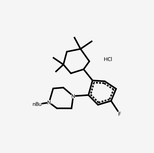 CCCCN1CCN(c2cc(F)ccc2C2CC(C)(C)CC(C)(C)C2)CC1.Cl